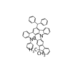 CC1(C)c2ccccc2-c2cc3c(cc21)B1c2c(cc(C(c4ccccc4)c4ccccc4)c4c5ccccc5n-3c24)-c2ccccc2N1c1ccccc1